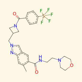 Cc1cc2nn(CC3CN(C(=O)c4ccc(S(F)(F)(F)(F)F)cc4)C3)cc2cc1C(=O)NCCN1CCOCC1